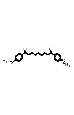 CSc1ccc(C(=O)CCCCCCCC(=O)c2ccc(SC)cc2)cc1